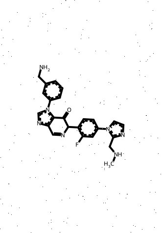 CNCc1nccn1-c1ccc(C2N=Cc3ncn(-c4cccc(CN)c4)c3C2=O)c(F)c1